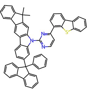 CC1(C)c2ccccc2-c2cc3c4ccc(C5(c6ccccc6)c6ccccc6-c6ccccc65)cc4n(-c4nccc(-c5cccc6c5sc5ccccc56)n4)c3cc21